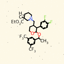 CCOC(=O)[C@]1(C)CCCN(CC2CCOC(OC(C)c3cc(C(F)(F)F)cc(C(F)(F)F)c3)C2c2ccc(F)c(F)c2)C1